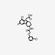 O=C(O)Cn1c2c(c3cc(F)cc(Cl)c31)C[C@H](NC(=O)COc1cccc(Cl)c1)CC2